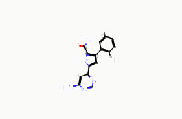 CCNC(=O)c1[nH]c(-c2cc(N)ncn2)cc1-c1cc(C(F)(F)F)ccc1C